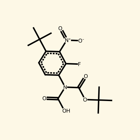 CC(C)(C)OC(=O)N(C(=O)O)c1ccc(C(C)(C)C)c([N+](=O)[O-])c1F